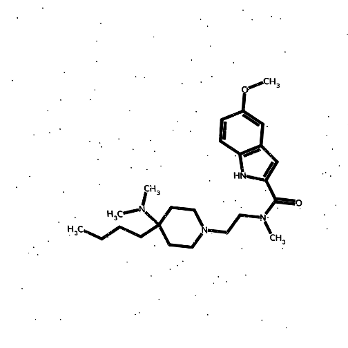 CCCCC1(N(C)C)CCN(CCN(C)C(=O)c2cc3cc(OC)ccc3[nH]2)CC1